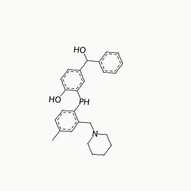 Cc1ccc(Pc2cc(C(O)c3ccccc3)ccc2O)c(CN2CCCCC2)c1